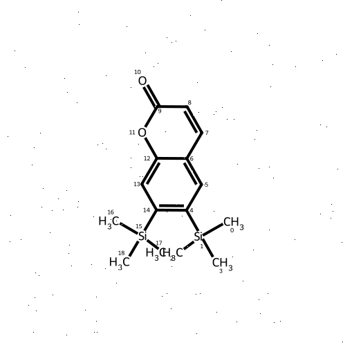 C[Si](C)(C)c1cc2ccc(=O)oc2cc1[Si](C)(C)C